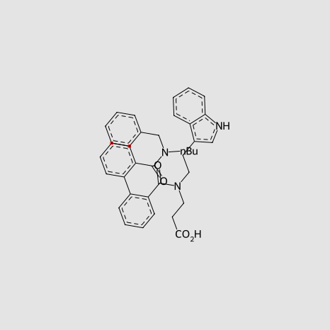 CCCCN(Cc1ccccc1)C(=O)c1ccccc1-c1ccccc1C(=O)N(CCC(=O)O)CCc1c[nH]c2ccccc12